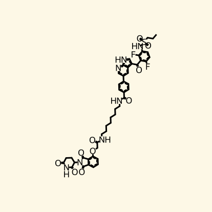 CCCS(=O)(=O)Nc1ccc(F)c(C(=O)c2c[nH]c3ncc(-c4ccc(C(=O)NCCCCCCCCNC(=O)COc5cccc6c5C(=O)N(C5CCC(=O)NC5=O)C6=O)cc4)cc23)c1F